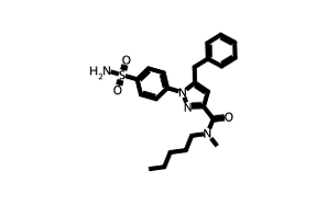 CCCCCN(C)C(=O)c1cc(Cc2ccccc2)n(-c2ccc(S(N)(=O)=O)cc2)n1